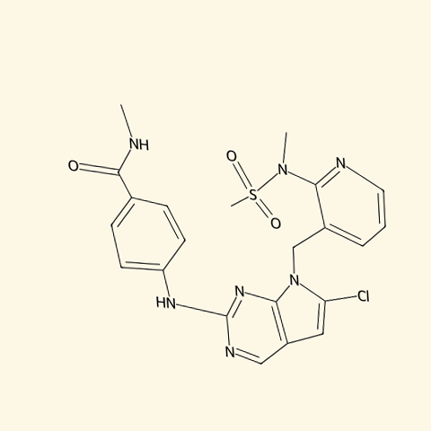 CNC(=O)c1ccc(Nc2ncc3cc(Cl)n(Cc4cccnc4N(C)S(C)(=O)=O)c3n2)cc1